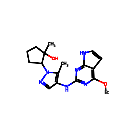 CCOc1nc(Nc2cnn(C3CCCC3(C)O)c2C)nc2[nH]ccc12